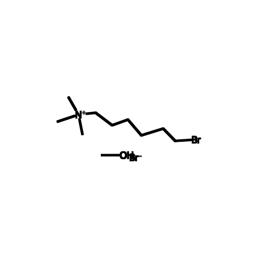 CO.C[N+](C)(C)CCCCCCBr.[Br-]